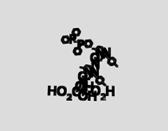 Cc1ccc(-c2nc3ccc(C)cn3c2CC(=O)N(C)C)cc1.Cc1ccc(-c2nc3ccc(C)cn3c2CC(=O)N(C)C)cc1.O=C(O)C(O)C(O)C(=O)O.c1ccc(P(CCP(c2ccccc2)c2ccccc2)c2ccccc2)cc1